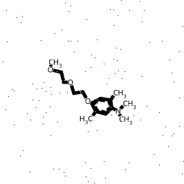 COCCOCCOc1cc(C)c(N(C)C)cc1C